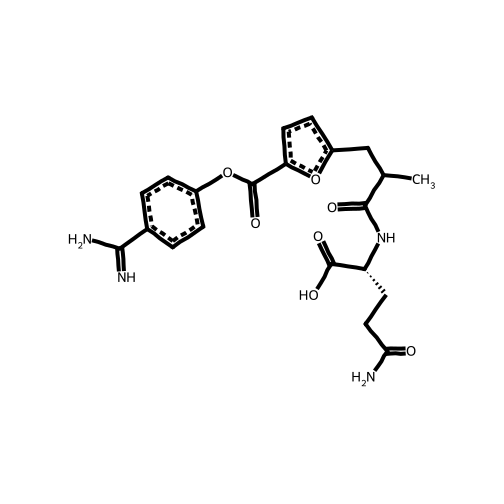 CC(Cc1ccc(C(=O)Oc2ccc(C(=N)N)cc2)o1)C(=O)N[C@H](CCC(N)=O)C(=O)O